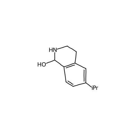 CC(C)c1ccc2c(c1)CCNC2O